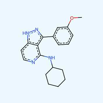 COc1cccc(-c2n[nH]c3ccnc(NC4CCCCC4)c23)c1